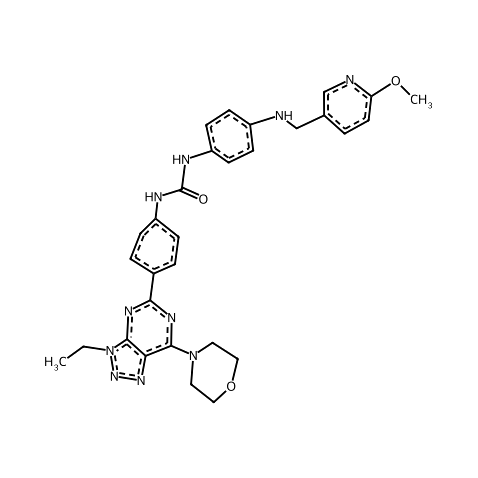 CCn1nnc2c(N3CCOCC3)nc(-c3ccc(NC(=O)Nc4ccc(NCc5ccc(OC)nc5)cc4)cc3)nc21